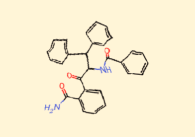 NC(=O)c1ccccc1C(=O)C(NC(=O)c1ccccc1)C(c1ccccc1)c1ccccc1